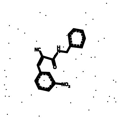 N#CC(=Cc1cccc([N+](=O)[O-])c1)C(=O)NCc1ccccc1